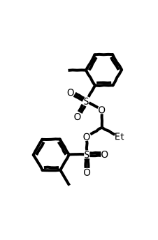 CCC(OS(=O)(=O)c1ccccc1C)OS(=O)(=O)c1ccccc1C